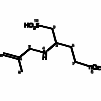 C=C(C)CNC(CCCCCCCCCC)CS(=O)(=O)O